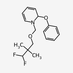 CC(C)(COCN1C=CC=CC1Oc1ccccc1)C(F)F